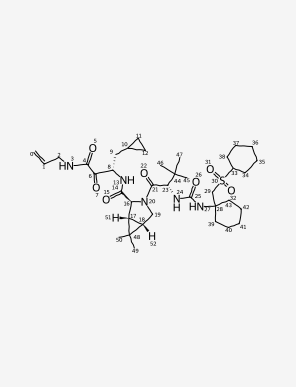 C=CCNC(=O)C(=O)[C@H](CC1CC1)NC(=O)[C@@H]1[C@@H]2[C@H](CN1C(=O)[C@@H](NC(=O)NC1(CS(=O)(=O)C3CCCCC3)CCCCC1)C(C)(C)C)C2(C)C